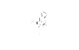 CCCCCC(C)(C)C1(C(F)(F)F)Oc2ccccc2C=C1C(=O)O